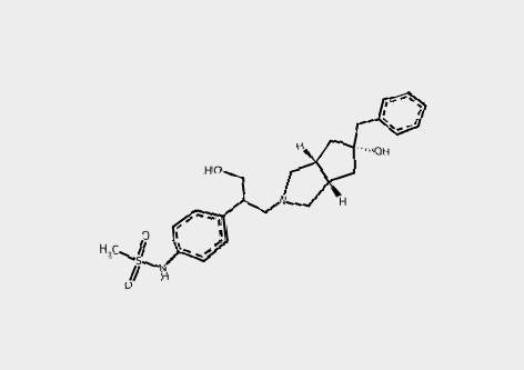 CS(=O)(=O)Nc1ccc(C(CO)CN2C[C@@H]3C[C@@](O)(Cc4ccccc4)C[C@@H]3C2)cc1